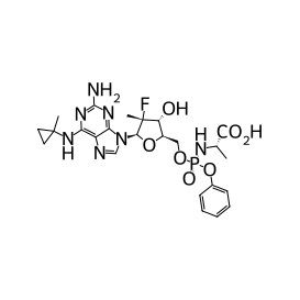 C[C@H](NP(=O)(OC[C@H]1O[C@@H](n2cnc3c(NC4(C)CC4)nc(N)nc32)[C@](C)(F)[C@@H]1O)Oc1ccccc1)C(=O)O